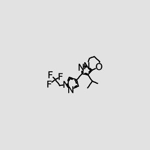 CC(C)c1c(-c2cnn(CC(F)(F)F)c2)nn2c1OCCC2